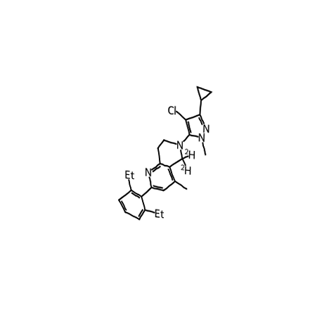 [2H]C1([2H])c2c(C)cc(-c3c(CC)cccc3CC)nc2CCN1c1c(Cl)c(C2CC2)nn1C